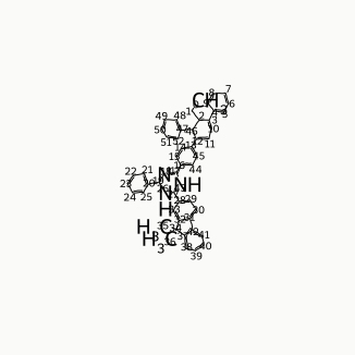 CCC1C(c2ccccc2)=CC=C(c2ccc(C3=NC(c4ccccc4)NC(c4ccc5c(c4)C(C)(C)c4ccccc4-5)N3)cc2)C1c1ccccc1